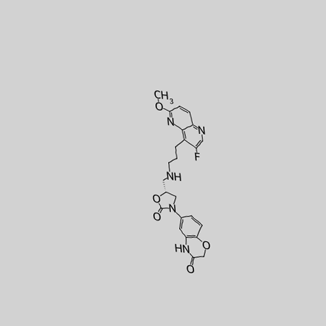 COc1ccc2ncc(F)c(CCCNC[C@@H]3CN(c4ccc5c(c4)NC(=O)CO5)C(=O)O3)c2n1